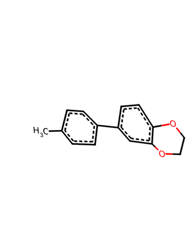 Cc1ccc(-c2ccc3c(c2)OCCO3)cc1